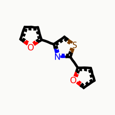 c1coc(-c2csc(-c3ccco3)n2)c1